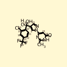 Cc1nc(-n2cc([C@@](C)(O)c3ccc(C(F)(F)F)cc3Cl)cn2)cc(=O)[nH]1